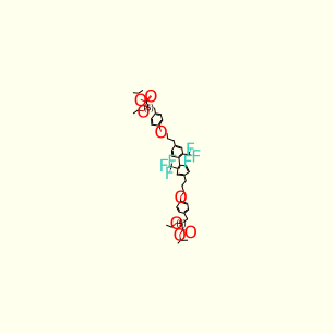 CCO[C@@H](Cc1ccc(OCCCc2ccc(-c3ccc(CCCOc4ccc(C[C@H](OCC)C(=O)OC(C)C)cc4)cc3C(F)(F)F)c(C(F)(F)F)c2)cc1)C(=O)OC(C)C